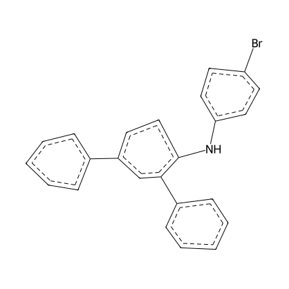 Brc1ccc(Nc2ccc(-c3ccccc3)cc2-c2ccccc2)cc1